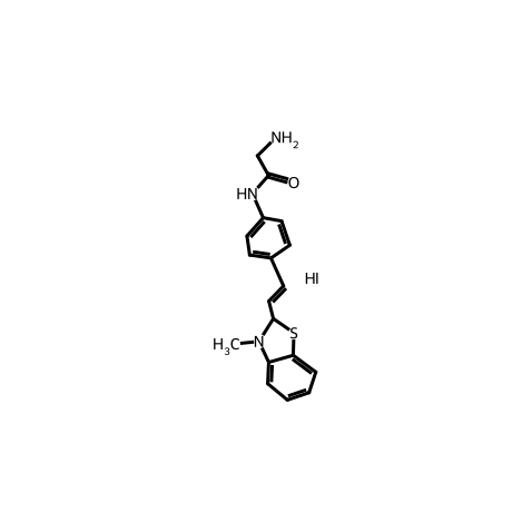 CN1c2ccccc2SC1C=Cc1ccc(NC(=O)CN)cc1.I